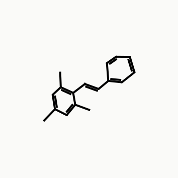 Cc1cc(C)c([C]=Cc2ccccc2)c(C)c1